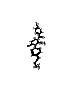 NCCc1ccc(-n2c(N)c(C(=O)c3ccc(F)cc3)ccc2=O)cc1